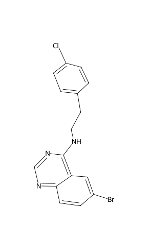 Clc1ccc(CCNc2ncnc3ccc(Br)cc23)cc1